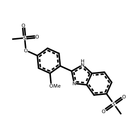 COc1cc(OS(C)(=O)=O)ccc1-c1nc2cc(S(C)(=O)=O)ccc2[nH]1